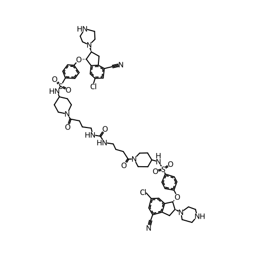 N#Cc1cc(Cl)cc2c1C[C@H](N1CCNCC1)[C@H]2Oc1ccc(S(=O)(=O)NC2CCN(C(=O)CCCNC(=O)NCCCC(=O)N3CCC(NS(=O)(=O)c4ccc(O[C@H]5c6cc(Cl)cc(C#N)c6C[C@@H]5N5CCNCC5)cc4)CC3)CC2)cc1